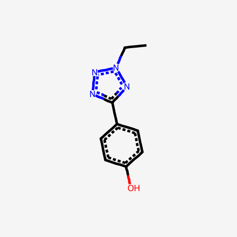 CCn1nnc(-c2ccc(O)cc2)n1